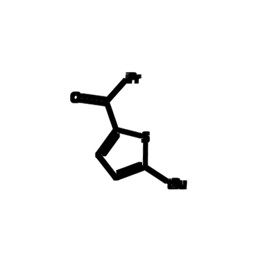 CC(C)C(=O)c1ccc(C(C)(C)C)s1